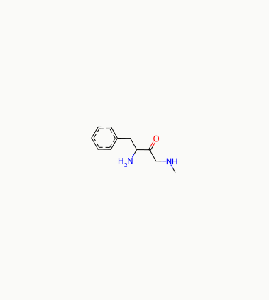 CNCC(=O)C(N)Cc1ccccc1